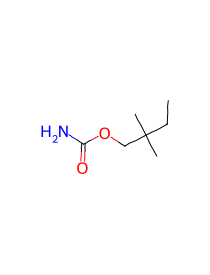 CCC(C)(C)COC(N)=O